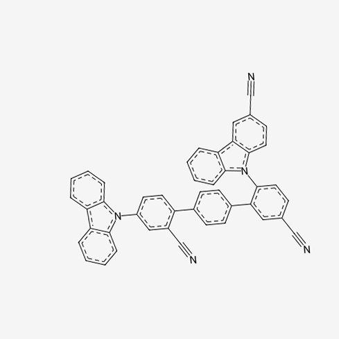 N#Cc1ccc(-n2c3ccccc3c3cc(C#N)ccc32)c(-c2ccc(-c3ccc(-n4c5ccccc5c5ccccc54)cc3C#N)cc2)c1